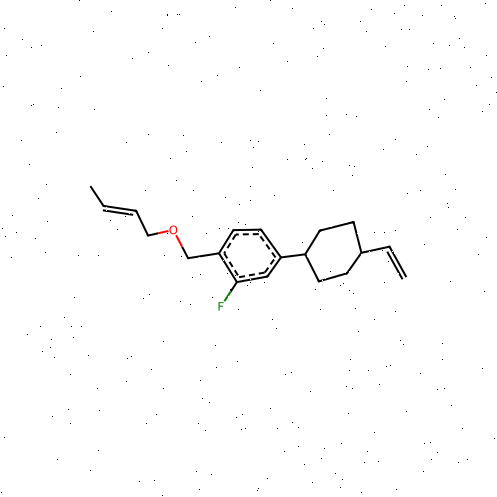 C=CC1CCC(c2ccc(COCC=CC)c(F)c2)CC1